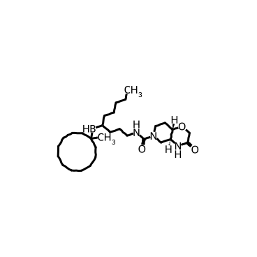 CCCCCC(BC1(C)CCCCCCCCCCC1)CCCNC(=O)N1CC[C@@H]2OCC(=O)N[C@H]2C1